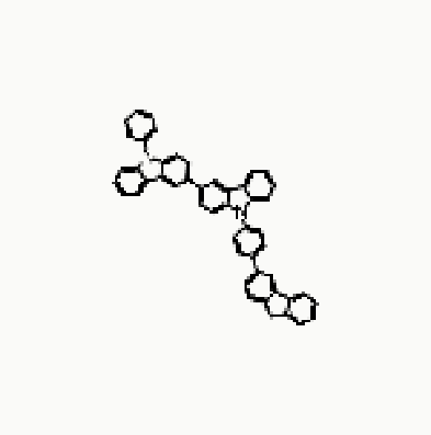 c1ccc(-n2c3ccccc3c3cc(-c4ccc5c(c4)c4ccccc4n5-c4ccc(-c5ccc6c(c5)-c5ccccc5C6)cc4)ccc32)cc1